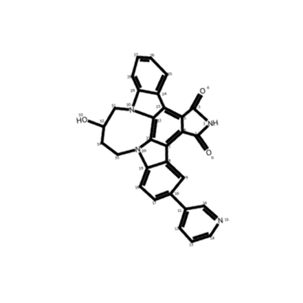 O=C1NC(=O)c2c1c1c3cc(-c4cccnc4)ccc3n3c1c1c2c2ccccc2n1CC(O)CC3